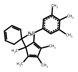 CC1=C(C)C(C)(C2(C)C=CC=CC2)C([SiH2]c2cc(C)c(C)c(C)c2)=C1C